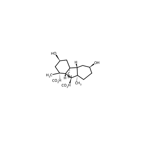 C[C@@]12CC[C@H](O)C[C@H]1[C@]1(CS)C[C@H](O)C[C@@](C)(C(=O)O)[C@H]1[C@@H]2C(=O)O